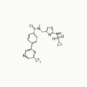 CN(Cc1csc(NS(=O)(=O)C2CC2)n1)C(=O)c1ccc(-c2cncc(C(F)(F)F)n2)cc1